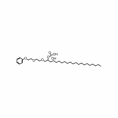 CCCCCCCCCCCCCCCCCCCC(COCCOCCOc1ccccc1)OP(=O)(O)O